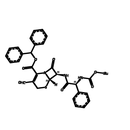 CC(C)(C)OC(=O)N[C@H](C(=O)N[C@@H]1C(=O)N2C(C(=O)OC(c3ccccc3)c3ccccc3)=C(C=O)CS[C@@H]12)c1ccccc1